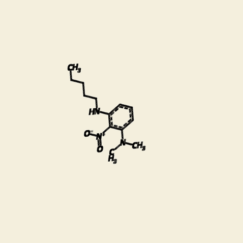 CCCCCNc1cccc(N(C)C)c1[N+](=O)[O-]